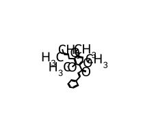 COc1cc(OC)c(C(=O)C=Cc2ccccc2)c(OC)c1CC=C(C)C